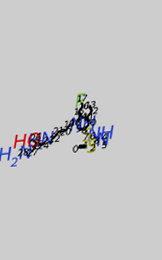 C#CS/C(=N\C)NSC(=C)/C=C(CC)\C(=C/CF)NCCCCNCC(O)CN